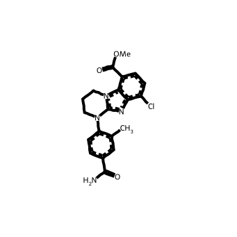 COC(=O)c1ccc(Cl)c2nc3n(c12)CCCN3c1ccc(C(N)=O)cc1C